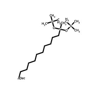 CCCCCCCCCCCCCCCCCCCC[Si](C)(O[Si](C)(C)C)O[Si](C)(C)C